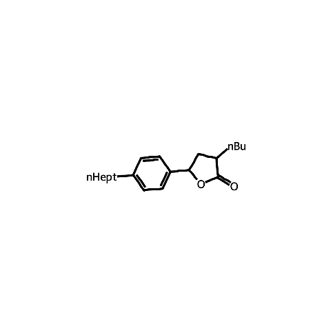 CCCCCCCc1ccc(C2CC(CCCC)C(=O)O2)cc1